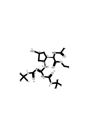 CCOC(=O)C(NC(C)=O)[C@@H]1CC(O)C[C@@H]1NC(=NC(=O)OC(C)(C)C)NC(=O)OC(C)(C)C